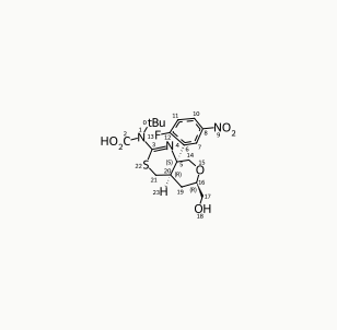 CC(C)(C)N(C(=O)O)C1=N[C@@]2(c3cc([N+](=O)[O-])ccc3F)CO[C@@H](CO)C[C@H]2CS1